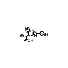 C=C(O)[C@@H](C(C)C)[C@H](Cc1csc(C2=CCNC2)n1)c1nnn[nH]1